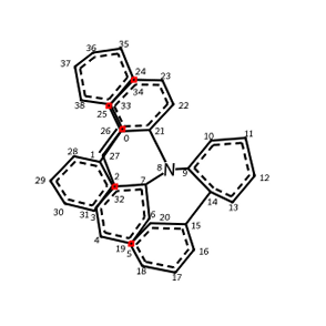 C(=C\c1ccccc1N(c1ccccc1-c1ccccc1)c1ccccc1-c1ccccc1)/c1ccccc1